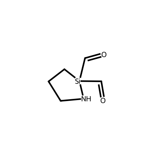 O=C[Si]1(C=O)CCCN1